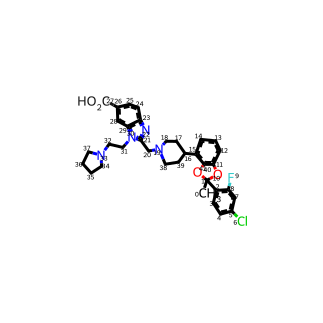 CC1(c2ccc(Cl)cc2F)Oc2cccc(C3CCN(Cc4nc5ccc(C(=O)O)cc5n4CCN4CCCC4)CC3)c2O1